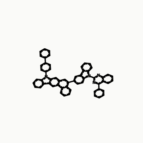 c1ccc(-c2ccc(-n3c4ccccc4c4cc5c(cc(-c6ccc7c(c6)c6ccccc6n7-c6nc(-c7ccccc7)c7ccccc7n6)c6ccccc65)cc43)cc2)cc1